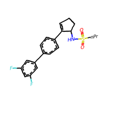 CCCS(=O)(=O)NC1CCC=C1c1ccc(-c2cc(F)cc(F)c2)cc1